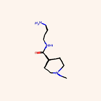 CN1CCC(C(=O)NCCN)CC1